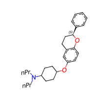 CCCN(CCC)C1CCC(Oc2ccc3c(c2)CC[C@@H](c2ccccc2)O3)CC1